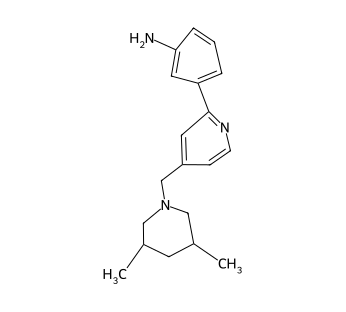 CC1CC(C)CN(Cc2ccnc(-c3cccc(N)c3)c2)C1